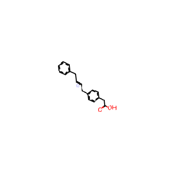 O=C(O)Cc1ccc(C/C=C/Cc2ccccc2)cc1